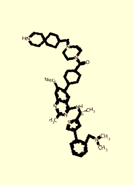 COc1cc2nc(C)nc(N[C@H](C)c3cc(-c4ccccc4CN(C)C)cs3)c2cc1C1CCC(C(=O)N2CCN(CC3CCC4(CCNCC4)CC3)CC2)CC1